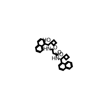 O=C(CC(=O)N[C@H](c1cccc2ccccc12)C1(O)CCC1)N[C@H](c1cccc2ccccc12)C1(O)CCC1